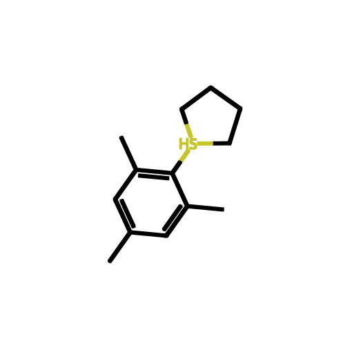 Cc1cc(C)c([SH]2CCCC2)c(C)c1